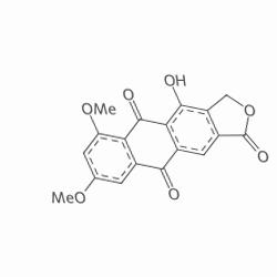 COc1cc(OC)c2c(c1)C(=O)c1cc3c(c(O)c1C2=O)COC3=O